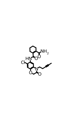 CC#CCCN1C(=O)COc2cc(Cl)c(NC(=O)C3=C(C(N)=O)CCCC3)cc21